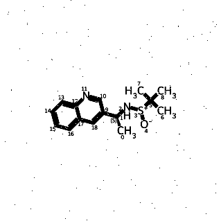 C[C@H](N[S+]([O-])C(C)(C)C)c1cnc2ccccc2c1